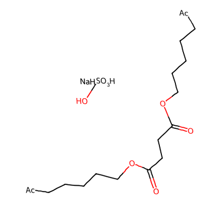 CC(=O)CCCCCOC(=O)CCC(=O)OCCCCCC(C)=O.O=S(=O)(O)O.[NaH]